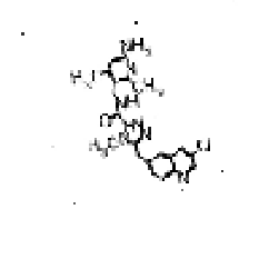 Cc1cc(N)nc(C)c1CNC(=O)c1nnc(Cc2ccc3ncc(Cl)cc3c2)n1C